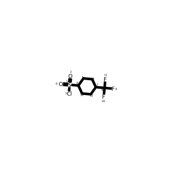 O=S(=O)(Cl)C1CCC(C(F)(F)F)CC1